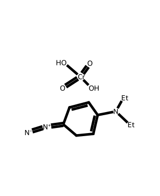 CCN(CC)C1=CCC(=[N+]=[N-])C=C1.[O]=[Cr](=[O])([OH])[OH]